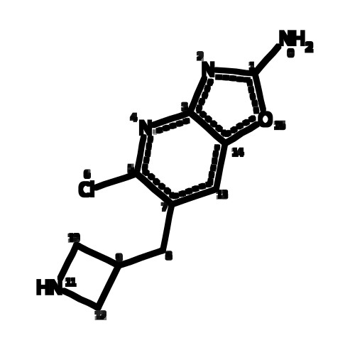 Nc1nc2nc(Cl)c(CC3CNC3)cc2o1